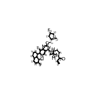 C=CC(=O)N1CC[C@@H]2[C@H]1CN2c1nc(OC[C@@H]2C[C@@H](F)CN2C)nc2c(F)c(-c3cccc4ccc(F)c(Cl)c34)ncc12